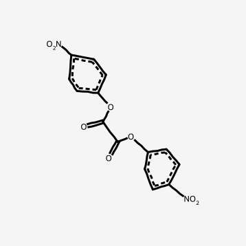 O=C(Oc1ccc([N+](=O)[O-])cc1)C(=O)Oc1ccc([N+](=O)[O-])cc1